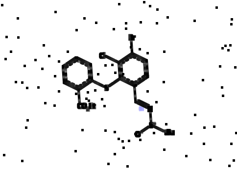 CCOC(=O)c1ccccc1Sc1c(/C=N/[S+]([O-])C(C)(C)C)ccc(Br)c1Cl